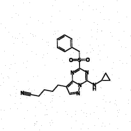 N#CCCCCc1cnn2c(NC3CC3)nc(S(=O)(=O)Cc3ccccc3)nc12